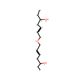 CCC(O)CC=CCOCC=CCC(O)CC